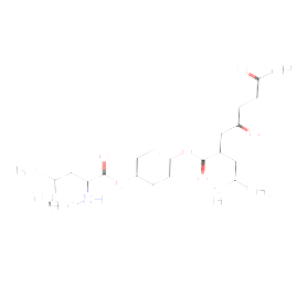 CNC(CC(C)C)C(=O)OC1CCC(OC(=O)C(CC(=O)CCC(C)=O)CC(C)C)CC1